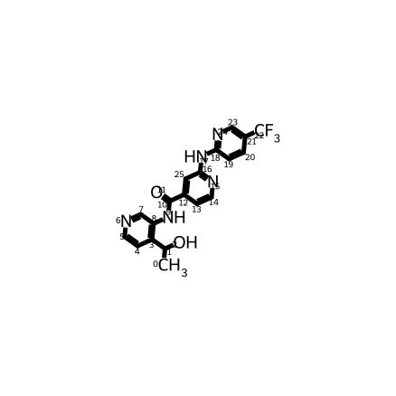 CC(O)c1ccncc1NC(=O)c1ccnc(Nc2ccc(C(F)(F)F)cn2)c1